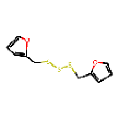 c1coc(CSSSCc2ccco2)c1